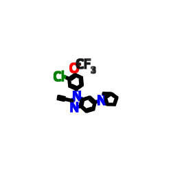 C#Cc1nc2ccc(N3CC4CCC3C4)cc2n1-c1ccc(OC(F)(F)F)c(Cl)c1